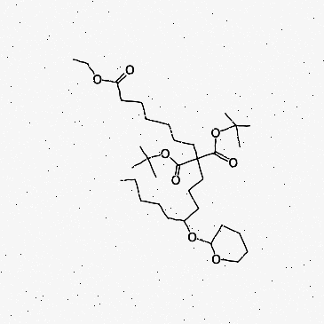 CCCCCC(CCCC(CCCCCCC(=O)OCC)(C(=O)OC(C)(C)C)C(=O)OC(C)(C)C)OC1CCCCO1